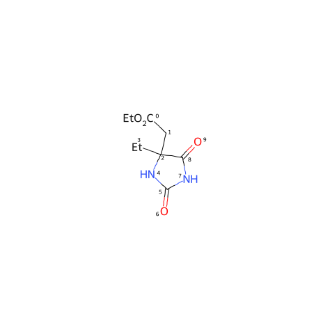 CCOC(=O)CC1(CC)NC(=O)NC1=O